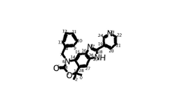 CC1(C)OC(=O)N(Cc2ccccc2)c2cc3nc(-c4cccnc4)[nH]c3cc21